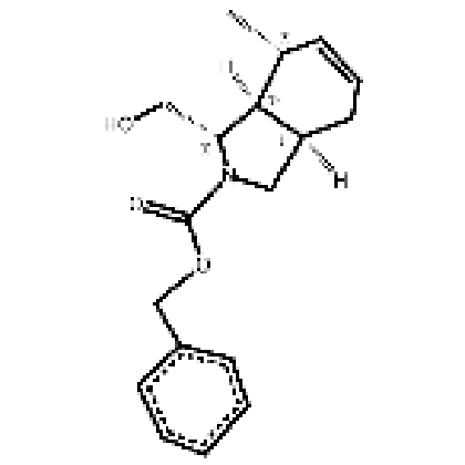 C[C@@H]1C=CC[C@H]2CN(C(=O)OCc3ccccc3)[C@H](CO)[C@H]21